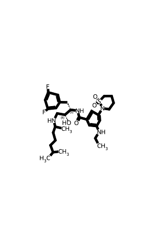 CCNc1cc(C(=O)N[C@@H](Cc2cc(F)cc(F)c2)[C@H](O)CNC(C)CCCC(C)C)cc(N2CCCCS2(=O)=O)c1